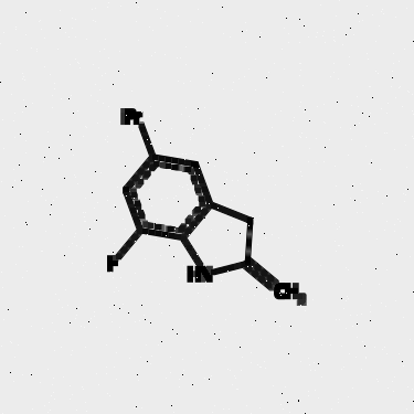 C=C1Cc2cc(C(C)C)cc(F)c2N1